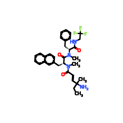 CCC(C)(N)C=CC(=O)N(C)[C@H](Cc1ccc2ccccc2c1)C(=O)N(C)[C@H](Cc1ccccc1)C(=O)NCC(F)(F)F